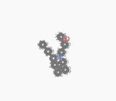 c1ccc(-c2ccc(-c3cccc(N(c4ccc(-c5ccc6oc7ccccc7c6c5)cc4)c4cccc5c4-c4ccccc4C5(c4ccccc4)c4ccccc4)c3)cc2)cc1